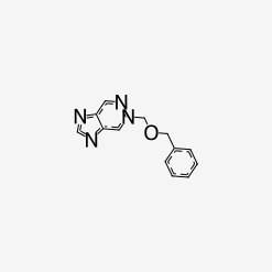 c1ccc(COCn2cc3ncnc-3cn2)cc1